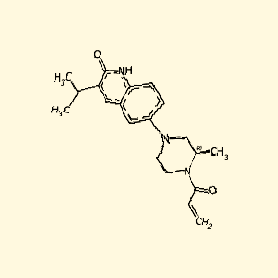 C=CC(=O)N1CCN(c2ccc3[nH]c(=O)c(C(C)C)cc3c2)C[C@H]1C